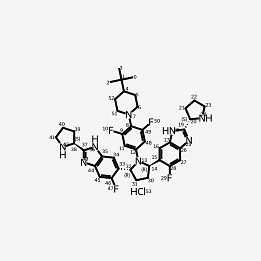 CC(C)(C)C1CCN(c2c(F)cc(N3[C@@H](c4cc5[nH]c([C@@H]6CCCN6)nc5cc4F)CC[C@@H]3c3cc4[nH]c([C@@H]5CCCN5)nc4cc3F)cc2F)CC1.Cl